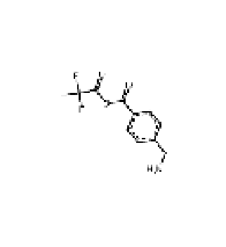 NCc1ccc(C(=O)OC(=O)C(F)(F)F)cc1